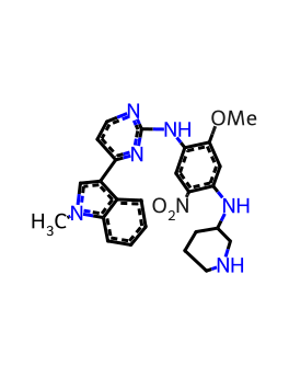 COc1cc(NC2CCCNC2)c([N+](=O)[O-])cc1Nc1nccc(-c2cn(C)c3ccccc23)n1